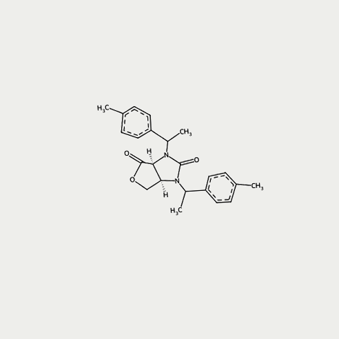 Cc1ccc(C(C)N2C(=O)N(C(C)c3ccc(C)cc3)[C@H]3COC(=O)[C@H]32)cc1